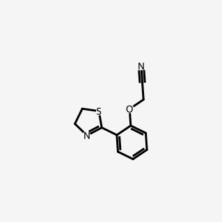 N#CCOc1ccccc1C1=NCCS1